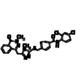 Cn1c(Cc2nn(C)c(=O)c3ccccc23)nnc1SCc1ccc(C(=O)Nc2ccc(Cl)cc2Cl)cc1